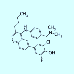 CCCCc1cnc2ccc(-c3cc(F)c(O)c(Cl)c3)cc2c1Nc1ccc(CN(C)C)cc1